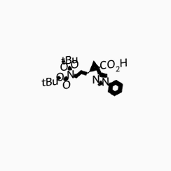 CC(C)(C)OC(=O)N(CCC[C@@H]1C[C@@]1(C(=O)O)c1cn(-c2ccccc2)cn1)C(=O)OC(C)(C)C